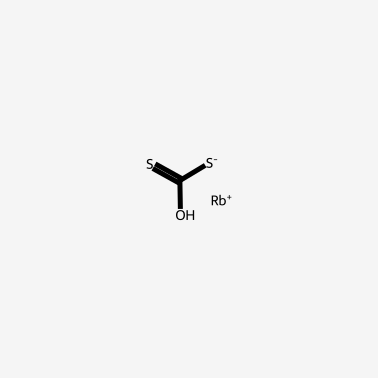 OC(=S)[S-].[Rb+]